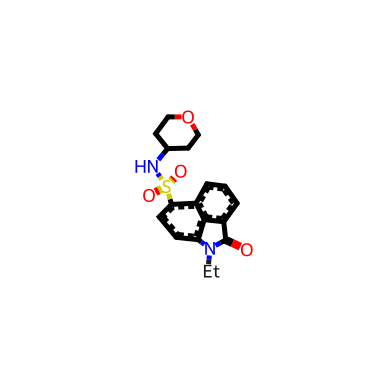 CCN1C(=O)c2cccc3c(S(=O)(=O)NC4CCOCC4)ccc1c23